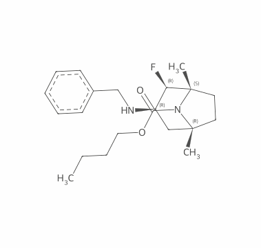 CCCCOC(=O)N1[C@]2(C)CC[C@@]1(C)[C@H](F)[C@H](NCc1ccccc1)C2